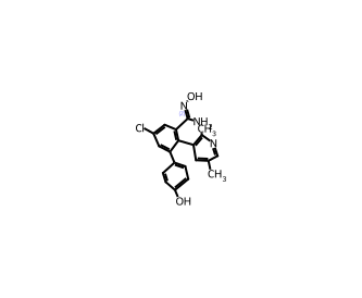 Cc1cnc(C)c(-c2c(/C(N)=N/O)cc(Cl)cc2-c2ccc(O)cc2)c1